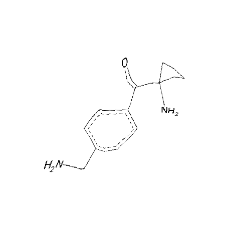 NCc1ccc(C(=O)C2(N)CC2)cc1